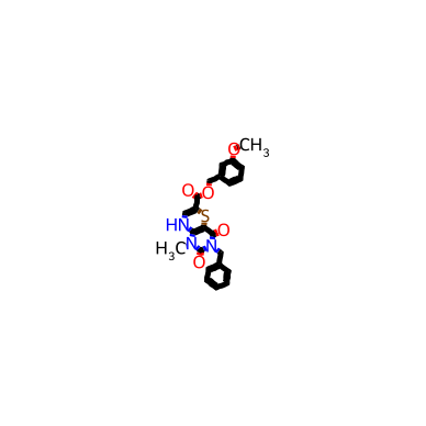 COc1cccc(COC(=O)C2=CNc3c(c(=O)n(Cc4ccccc4)c(=O)n3C)S2)c1